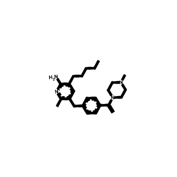 C=C(c1ccc(Cc2cc(CCCCC)c(N)nc2C)cc1)N1CCN(C)CC1